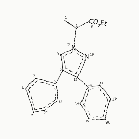 CCOC(=O)C(C)n1cc(-c2ccccc2)c(-c2ccccc2)n1